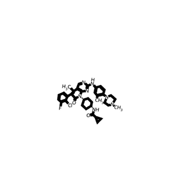 Cc1cc(Nc2ncc3c(C)c(-c4cccc(F)c4Cl)c(=O)n([C@H]4CC[C@@H](NC(=O)C5CC5)CC4)c3n2)ccc1N1CCN(C)CC1